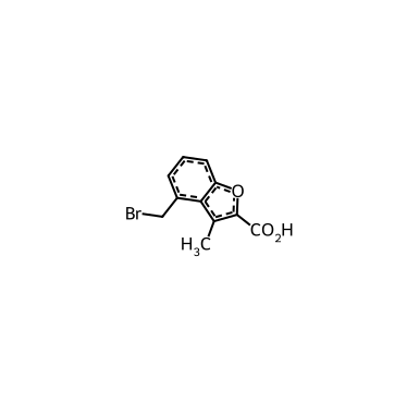 Cc1c(C(=O)O)oc2cccc(CBr)c12